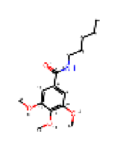 [CH2]CCCCNC(=O)c1cc(OC)c(OC)c(OC)c1